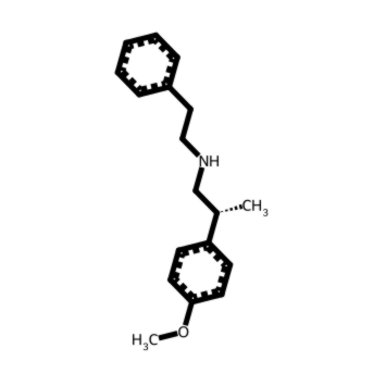 COc1ccc([C@@H](C)CNCCc2ccccc2)cc1